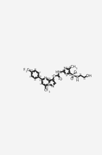 Cc1nc(NC(=O)Oc2cnn3c(C(F)(F)F)cc(-c4ccc(C(F)(F)F)cc4)nc23)sc1S(=O)(=O)NCCO